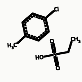 CCS(=O)(=O)O.Cc1ccc(Cl)cc1